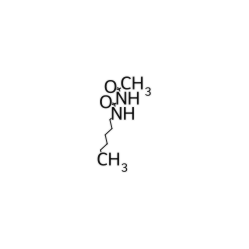 CCCCCCNC(=O)NC(C)=O